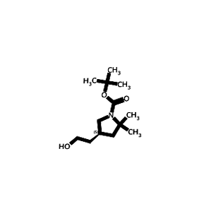 CC(C)(C)OC(=O)N1C[C@H](CCO)CC1(C)C